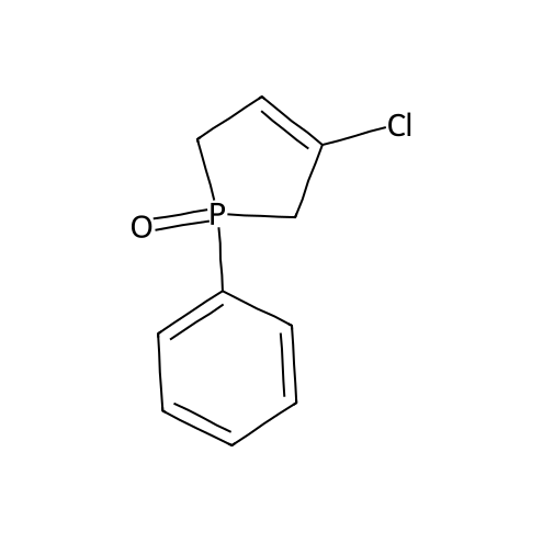 O=P1(c2ccccc2)CC=C(Cl)C1